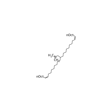 CCCCCCCC/C=C\CCCCCCCCC(CCCCCCCC/C=C\CCCCCCCC)CN(C)C